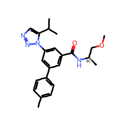 COC[C@@H](C)NC(=O)c1cc(-c2ccc(C)cc2)cc(-n2nncc2C(C)C)c1